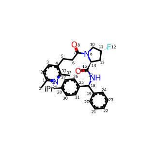 Cc1ccc(CCC(=O)N2C[C@H](F)C[C@H]2C(=O)N[C@@H](c2ccccc2)c2ccc(C(C)C)cc2)c(C)n1